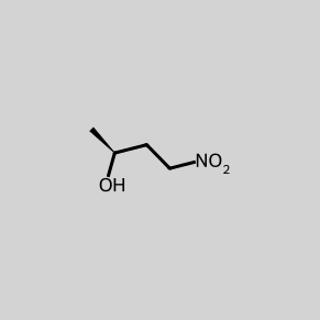 C[C@H](O)CC[N+](=O)[O-]